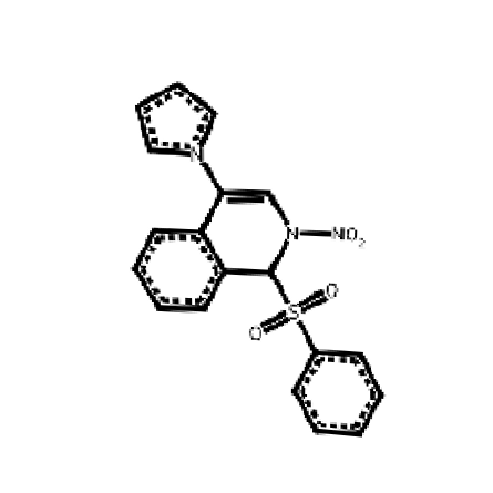 O=[N+]([O-])N1C=C(n2cccc2)c2ccccc2C1S(=O)(=O)c1ccccc1